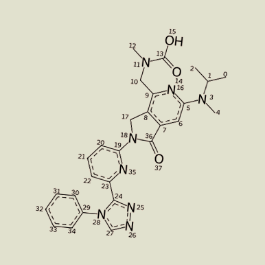 CC(C)N(C)c1cc2c(c(CN(C)C(=O)O)n1)CN(c1cccc(-c3nncn3-c3ccccc3)n1)C2=O